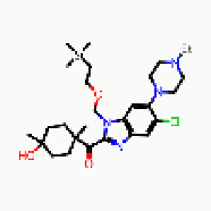 CCN1CCN(c2cc3c(cc2Cl)nc(C(=O)C2(C)CCC(C)(O)CC2)n3COCC[Si](C)(C)C)CC1